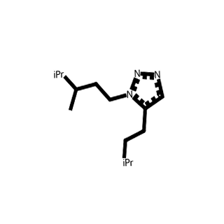 CC(C)CCc1cnnn1CCC(C)C(C)C